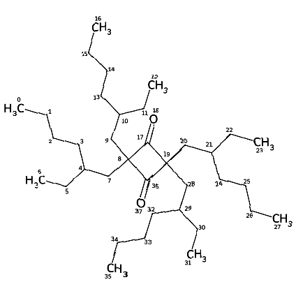 CCCCC(CC)CC1(CC(CC)CCCC)C(=O)C(CC(CC)CCCC)(CC(CC)CCCC)C1=O